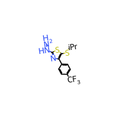 CC(C)Sc1sc(NN)nc1-c1ccc(C(F)(F)F)cc1